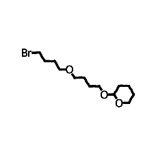 BrCCCCOCCCCOC1CCCCO1